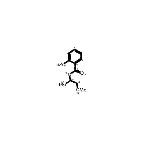 CCCc1ccccc1C(=O)OC(COC)C(C)(C)C